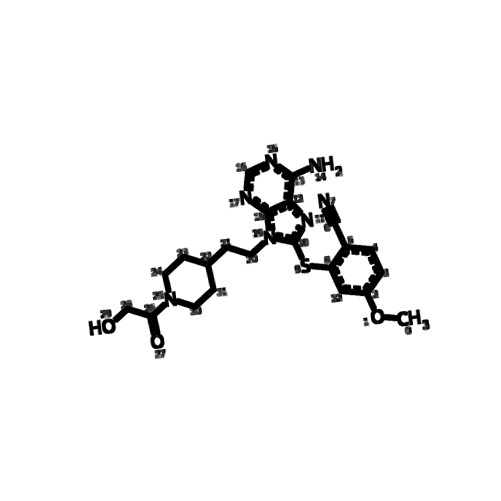 COc1ccc(C#N)c(Sc2nc3c(N)ncnc3n2CCC2CCN(C(=O)CO)CC2)c1